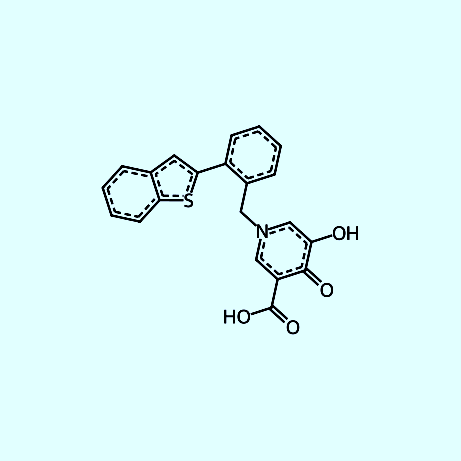 O=C(O)c1cn(Cc2ccccc2-c2cc3ccccc3s2)cc(O)c1=O